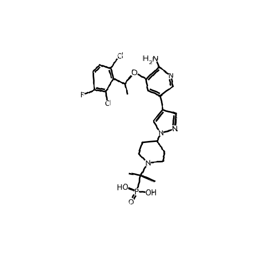 CC(Oc1cc(-c2cnn(C3CCN(C(C)(C)P(=O)(O)O)CC3)c2)cnc1N)c1c(Cl)ccc(F)c1Cl